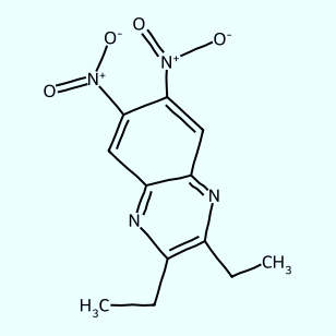 CCc1nc2cc([N+](=O)[O-])c([N+](=O)[O-])cc2nc1CC